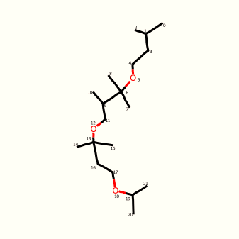 CC(C)CCOC(C)(C)C(C)COC(C)(C)CCOC(C)C